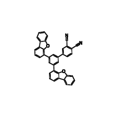 N#Cc1ccc(-c2cc(-c3cccc4c3oc3ccccc34)cc(-c3cccc4c3oc3ccccc34)c2)cc1C#N